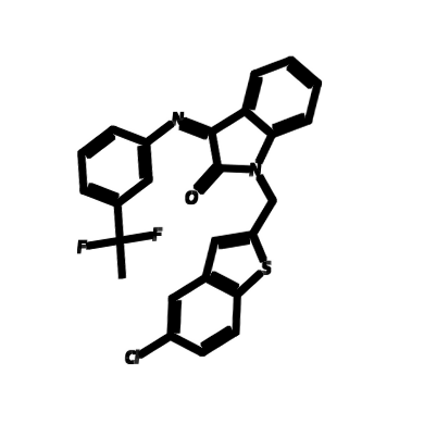 CC(F)(F)c1cccc(N=C2C(=O)N(Cc3cc4cc(Cl)ccc4s3)c3ccccc32)c1